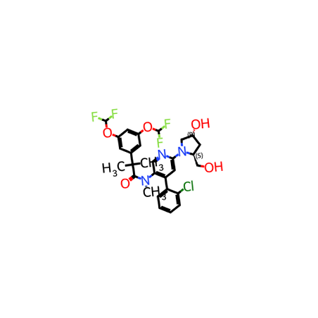 CN(C(=O)C(C)(C)c1cc(OC(F)F)cc(OC(F)F)c1)c1cnc(N2C[C@H](O)C[C@H]2CO)cc1-c1ccccc1Cl